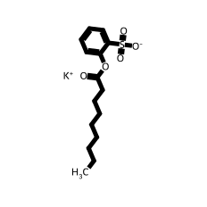 CCCCCCCCC(=O)Oc1ccccc1S(=O)(=O)[O-].[K+]